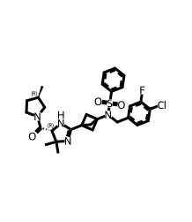 C[C@@H]1CCN(C(=O)[C@@H]2NC(C34CC(N(Cc5ccc(Cl)c(F)c5)S(=O)(=O)c5ccccc5)(C3)C4)=NC2(C)C)C1